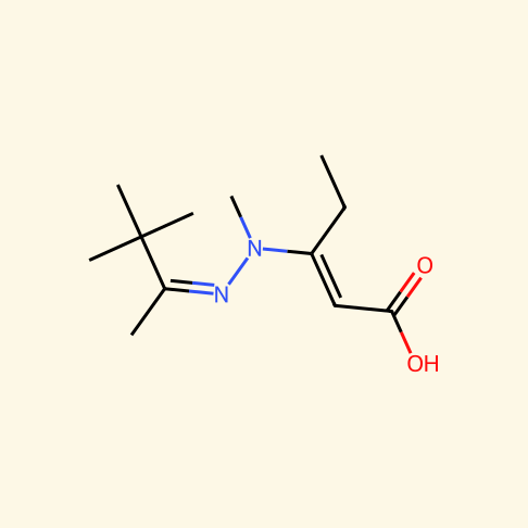 CC/C(=C\C(=O)O)N(C)N=C(C)C(C)(C)C